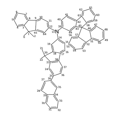 CC1(C)c2ccccc2-c2ccc(N(c3ccc4c(c3)C(C)(C)c3cc(-c5ccc6ccccc6c5)ccc3-4)c3ccc4c(c3)C3(c5ccccc5-c5ccccc53)c3ccccc3-4)cc21